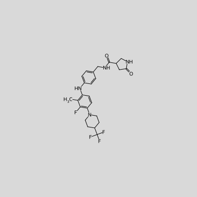 Cc1c(Nc2ccc(CNC(=O)C3CNC(=O)C3)cc2)ccc(N2CCC(C(F)(F)F)CC2)c1F